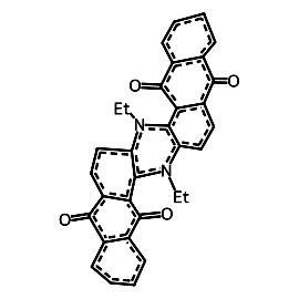 CCn1c2ccc3c(=O)c4ccccc4c(=O)c3c2n(CC)c2ccc3c(=O)c4ccccc4c(=O)c3c21